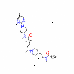 Cc1cnc(N2CCC(N(C)C(=O)C(C)(C)CCC(C)N3CCC(CCN(C)C(=O)C(C)(C)C)CC3)CC2)nc1